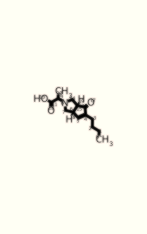 CCCCC1=C[C@@H]2CN(C(C)C(=O)O)C[C@@H]2C1=O